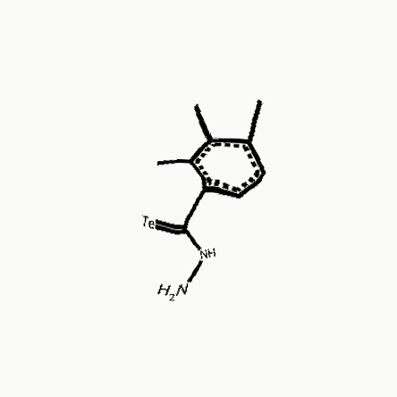 Cc1ccc(C(=[Te])NN)c(C)c1C